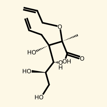 C=CCO[C@@](C)(C(=O)O)[C@](O)(CC=C)[C@H](O)[C@H](O)CO